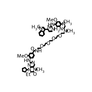 CC[C@@H]1C(=O)N(C)c2cnc(Nc3ccc(C(=O)NCCOCCOCCOCCOCCN(C)CCN(C)c4cc(OC)c(Nc5nccc(-c6cn(C)c7ccccc67)n5)cc4N)cc3OC)nc2N1C1CCCC1